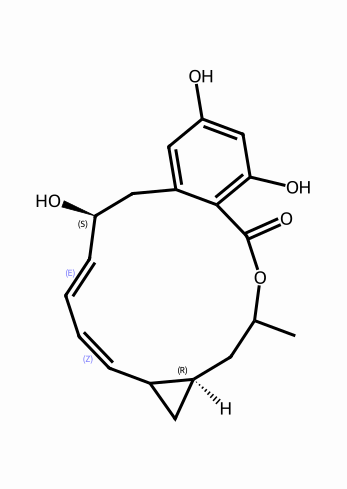 CC1C[C@H]2CC2/C=C\C=C\[C@@H](O)Cc2cc(O)cc(O)c2C(=O)O1